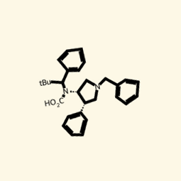 CC(C)(C)C(c1ccccc1)N(C(=O)O)[C@@H]1CN(Cc2ccccc2)C[C@@H]1c1ccccc1